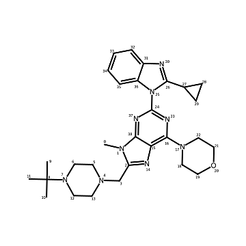 Cn1c(CN2CCN(C(C)(C)C)CC2)nc2c(N3CCOCC3)nc(-n3c(C4CC4)nc4ccccc43)nc21